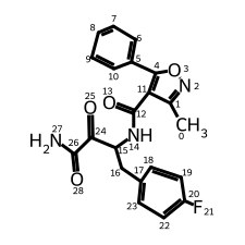 Cc1noc(-c2ccccc2)c1C(=O)NC(Cc1ccc(F)cc1)C(=O)C(N)=O